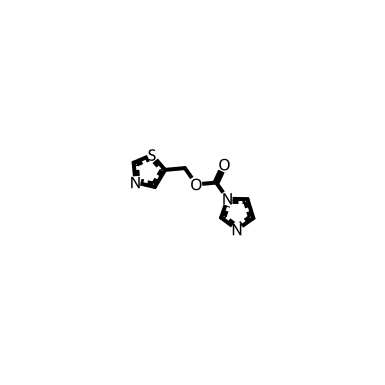 O=C(OCc1cncs1)n1ccnc1